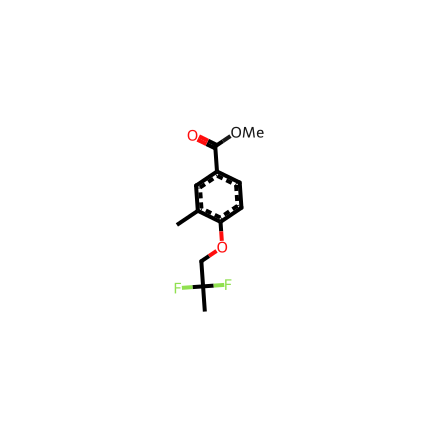 COC(=O)c1ccc(OCC(C)(F)F)c(C)c1